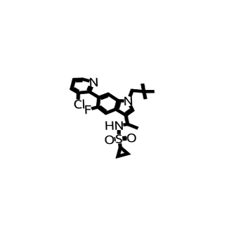 CC(NS(=O)(=O)C1CC1)c1cn(CC(C)(C)C)c2cc(-c3ncccc3Cl)c(F)cc12